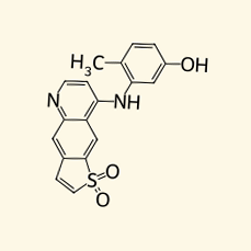 Cc1ccc(O)cc1Nc1ccnc2cc3c(cc12)S(=O)(=O)C=C3